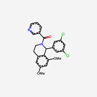 COc1cc2c(c(OC)c1)C(c1cc(Cl)cc(Cl)c1)N(C(=O)c1cccnc1)CC2